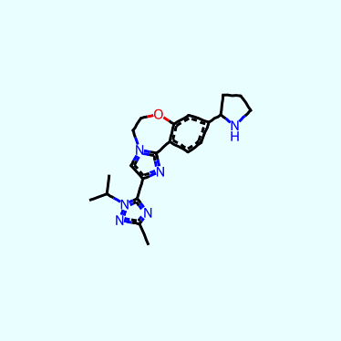 Cc1nc(-c2cn3c(n2)-c2ccc(C4CCCN4)cc2OCC3)n(C(C)C)n1